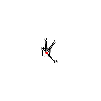 CC(C)(C)C12CN(C1)S(=O)(=O)C2